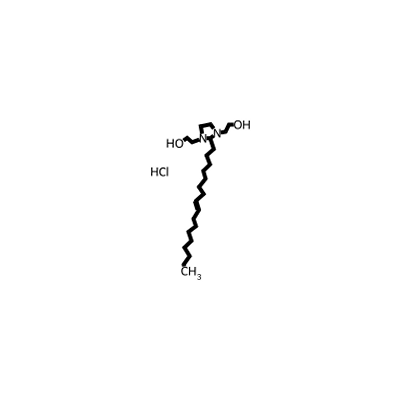 CCCCCCCC/C=C/CCCCCCCC1N(CCO)CCN1CCO.Cl